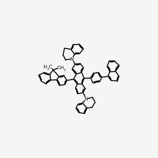 CC1(C)c2ccccc2-c2ccc(-c3c4ccc(N5CCCc6ccccc65)cc4c(-c4ccc(-c5cccc6ccccc56)cc4)c4ccc(N5CCCc6ccccc65)cc34)cc21